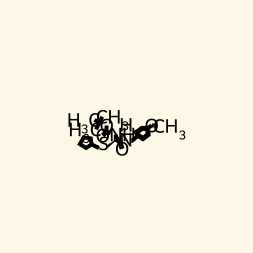 COc1ccc(CNC(=O)[C@@H](CSCC2CCCC2)NC(=O)OC(C)(C)C)cc1